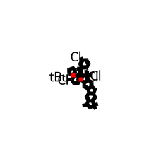 Cl.Cl.[CH2]=[Zr]([C]1=CC(C(C)(C)C)=CC1)([C]1=C(C)c2cc3c(cc2C1(C)C)Cc1cc2c(cc1-3)C(C)=CC2(C)C)([c]1cccc(Cl)c1)[c]1cccc(Cl)c1